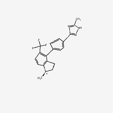 Cc1nc(-c2ccc(-c3c(C(F)(F)F)ccc4c3CC[C@H]4C)cc2)n[nH]1